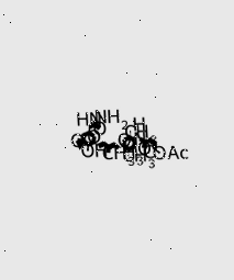 CC(=O)O[C@@H](C)/C=C\C(=O)NC1C[C@H](C)[C@H](C/C=C(C)/C=C/[C@H]2O[C@H](CC(=O)NN)CC3(CO3)[C@@H]2O)O[C@@H]1C